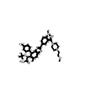 COCCN1CCN(c2nn(C)c3ccc(-c4nc5cc(C)c([C@H](OC(C)(C)C)C(=O)O)c(-c6ccc(Cl)cc6)c5s4)cc23)CC1